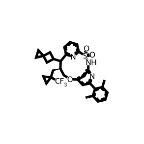 Cc1cccc(C)c1-c1cc2cc(n1)NS(=O)(=O)c1cccc(n1)C(C1CC3(CC3)C1)[C@H](CC1(C(F)(F)F)CC1)CO2